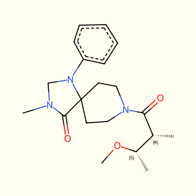 CO[C@@H](C)[C@@H](C)C(=O)N1CCC2(CC1)C(=O)N(C)CN2c1ccccc1